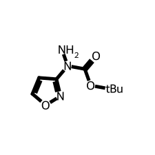 CC(C)(C)OC(=O)N(N)c1ccon1